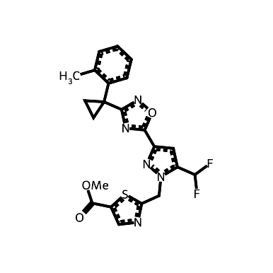 COC(=O)c1cnc(Cn2nc(-c3nc(C4(c5ccccc5C)CC4)no3)cc2C(F)F)s1